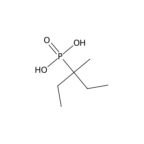 CCC(C)(CC)P(=O)(O)O